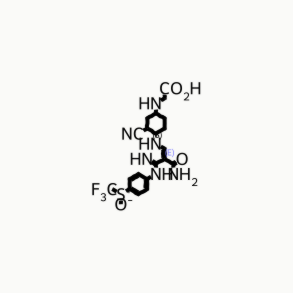 N#CC1CC(NCC(=O)O)CC[C@@H]1N/C=C(\C(=N)Nc1ccc([S+]([O-])C(F)(F)F)cc1)C(N)=O